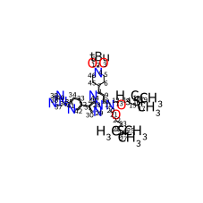 CC(C)(C)OC(=O)N1CCC(c2cc(N(COCC[Si](C)(C)C)COCC[Si](C)(C)C)n3ncc(-c4ccc(-n5cncn5)nc4)c3n2)CC1